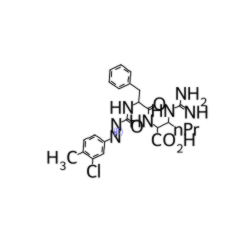 CCCC(NC(=N)N)C(NC(=O)C(Cc1ccccc1)NC(=O)/N=N/c1ccc(C)c(Cl)c1)C(=O)O